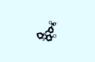 O=[N+]([O-])c1cccc(CN2c3ccccc3Sc3ccc(Cl)cc32)c1